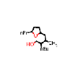 CCCCC(CO)C(C)CC1CCC(CCC)O1